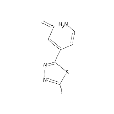 C=C/C=C(\C=C/N)c1nnc(C)s1